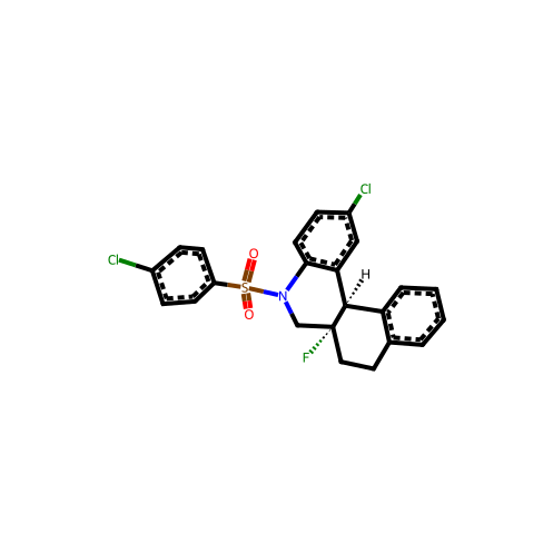 O=S(=O)(c1ccc(Cl)cc1)N1C[C@]2(F)CCc3ccccc3[C@@H]2c2cc(Cl)ccc21